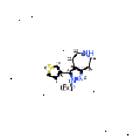 CC(C)(C)n1nc2c(c1-c1ccsc1)CCNCC2